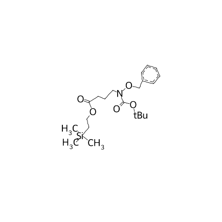 CC(C)(C)OC(=O)N(CCCC(=O)OCC[Si](C)(C)C)OCc1ccccc1